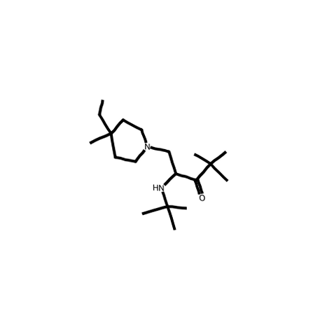 CCC1(C)CCN(CC(NC(C)(C)C)C(=O)C(C)(C)C)CC1